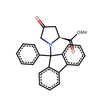 COC(=O)[C@@H]1CC(=O)CN1C1(c2ccccc2)c2ccccc2-c2ccccc21